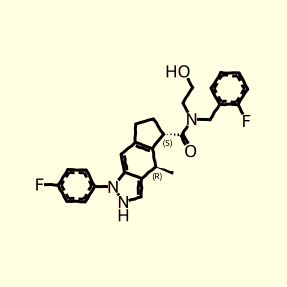 C[C@H]1C2=CNN(c3ccc(F)cc3)C2=CC2=C1[C@@H](C(=O)N(CCO)Cc1ccccc1F)CC2